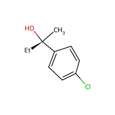 CC[C@](C)(O)c1ccc(Cl)cc1